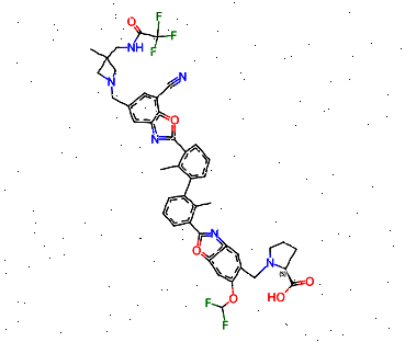 Cc1c(-c2nc3cc(CN4CCC[C@H]4C(=O)O)c(OC(F)F)cc3o2)cccc1-c1cccc(-c2nc3cc(CN4CC(C)(CNC(=O)C(F)(F)F)C4)cc(C#N)c3o2)c1C